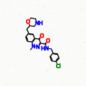 Cn1nc(C(=O)NCc2ccc(Cl)cc2)c(=O)c2cc(CC3CNCCO3)ccc21